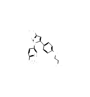 COc1ccc(-n2nc(C(F)(F)F)cc2-c2ccc(OCCO)cc2)cn1